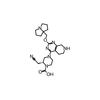 N#CC[C@H]1CN(c2nc(OCC34CCCN3CCC4)nc3c2CCNC3)CCN1C(=O)O